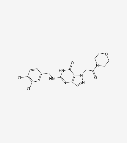 O=C(Cn1ncc2nc(NCc3ccc(Cl)c(Cl)c3)[nH]c(=O)c21)N1CCOCC1